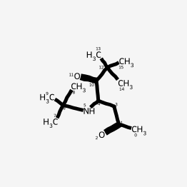 CC(=O)CC(NC(C)(C)C)C(=O)C(C)(C)C